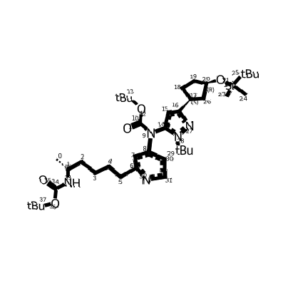 C[C@H](CCCCc1cc(N(C(=O)OC(C)(C)C)c2cc([C@H]3CC[C@@H](O[Si](C)(C)C(C)(C)C)C3)nn2C(C)(C)C)ccn1)NC(=O)OC(C)(C)C